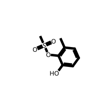 Cc1cccc(O)c1OS(C)(=O)=O